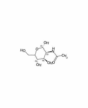 CC(=O)N[C@H]1[C@@H](O)[C@H](O)C(CO)O[C@@H]1O